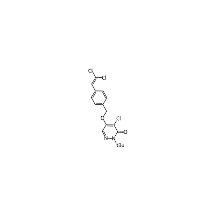 CC(C)(C)n1ncc(OCc2ccc(C=C(Cl)Cl)cc2)c(Cl)c1=O